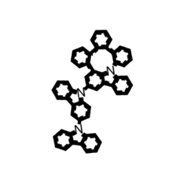 c1ccc2c(c1)c1ccccc1c1cc(-n3c4ccccc4c4cc(-n5c6ccccc6c6ccccc65)ccc43)cc3c4ccccc4n(c4ccccc24)c13